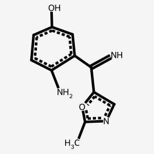 Cc1ncc(C(=N)c2cc(O)ccc2N)o1